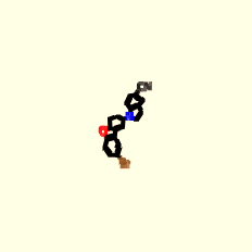 N#Cc1ccc2c(ccn2-c2ccc3oc4ccc(Br)cc4c3c2)c1